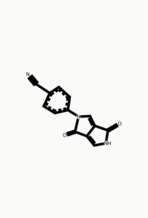 N#Cc1ccc(N2C=C3C(=O)NC=C3C2=O)cc1